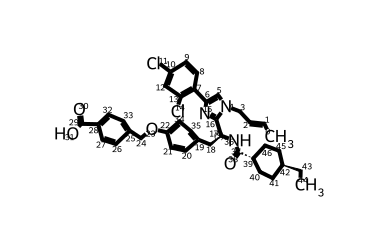 CC=CCn1cc(-c2ccc(Cl)cc2Cl)nc1[C@H](Cc1ccc(OCc2ccc(C(=O)O)cc2)cc1)NC(=O)[C@H]1CC[C@H](CC)CC1